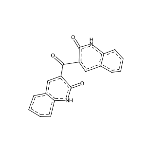 O=C(c1cc2ccccc2[nH]c1=O)c1cc2ccccc2[nH]c1=O